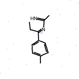 CC/C(=N\C(C)=N)c1ccc(C)cc1